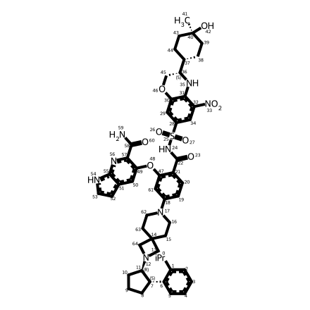 CC(C)c1ccccc1[C@@H]1CCC[C@H]1N1CC2(CCN(c3ccc(C(=O)NS(=O)(=O)c4cc5c(c([N+](=O)[O-])c4)N[C@@H]([C@H]4CC[C@](C)(O)CC4)CO5)c(Oc4cc5cc[nH]c5nc4C(N)=O)c3)CC2)C1